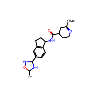 CCC1NC(c2ccc3c(c2)CC[C@H]3NC(=O)C2CCN=C(OC)C2)NO1